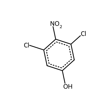 O=[N+]([O-])c1c(Cl)cc(O)cc1Cl